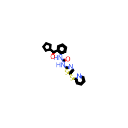 O=C(Nc1ncc(Sc2ccccn2)s1)Nc1ccccc1C(=O)C1CCCC1